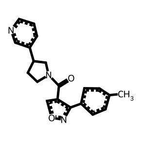 Cc1ccc(-c2nocc2C(=O)N2CCC(c3cccnc3)C2)cc1